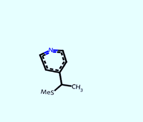 CSC(C)c1ccncc1